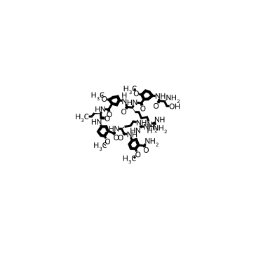 CCC[C@@H](NC(=O)c1cc(NC(=O)[C@@H](CCCCNC(=N)N)NC(=O)c2cc(NC(=O)[C@H](N)CO)ccc2OC)ccc1OC)C(=O)Nc1ccc(OC)c(C(=O)N[C@H](CCCNC(=N)N)C(=O)Nc2ccc(OC)c(C(N)=O)c2)c1